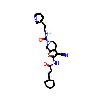 N#Cc1c(NC(=O)CCC2CCCCC2)sc2c1CCN(C(=O)NCCc1cccnc1)C2